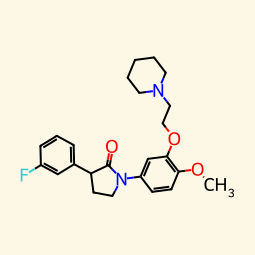 COc1ccc(N2CCC(c3cccc(F)c3)C2=O)cc1OCCN1CCCCC1